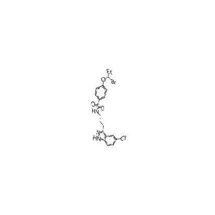 CCC(Br)Oc1ccc(S(=O)(=O)NCCCc2n[nH]c3ccc(Cl)cc23)cc1